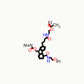 CCOC(C)OCCNC(=O)CCCc1ccc2c(c1)C(COC(=O)NC)c1cccc(C(=O)NCCOC(C)C)c1-2